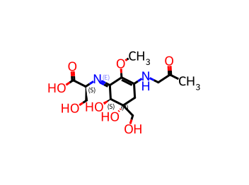 COC1=C(NCC(C)=O)C[C@@](O)(CO)[C@@H](O)/C1=N\[C@@H](CO)C(=O)O